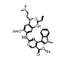 C=CC(=O)Nc1cc(Nc2ncc(C(=O)OC(C)CC)c(-c3cn(C)c4ccccc34)n2)c(OC)cc1N(C)CCN(C)C